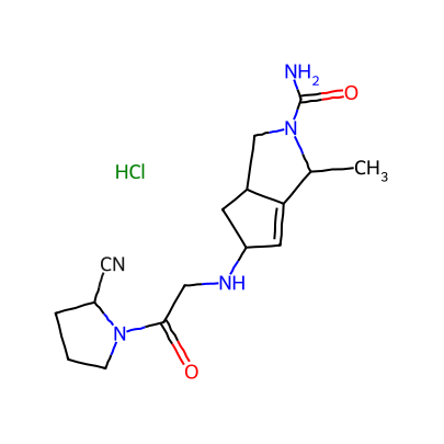 CC1C2=CC(NCC(=O)N3CCCC3C#N)CC2CN1C(N)=O.Cl